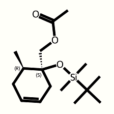 CC(=O)OC[C@]1(O[Si](C)(C)C(C)(C)C)CC=CC[C@H]1C